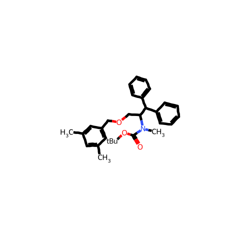 Cc1cc(C)cc(COCC(C(c2ccccc2)c2ccccc2)N(C)C(=O)OC(C)(C)C)c1